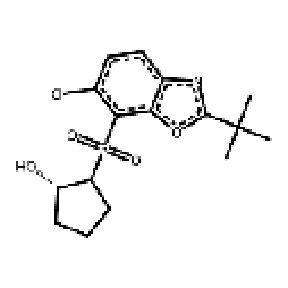 CC(C)(C)c1nc2ccc(Cl)c(S(=O)(=O)C3CCC[C@@H]3O)c2o1